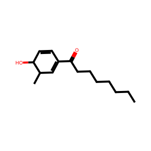 CCCCCCCC(=O)C1=CC(C)C(O)C=C1